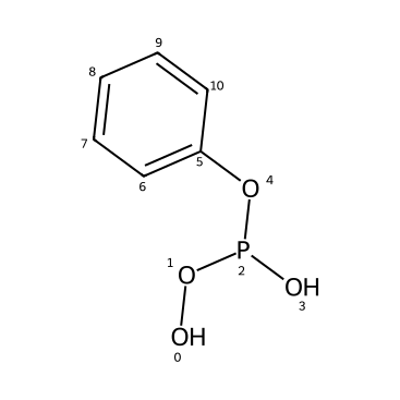 OOP(O)Oc1ccccc1